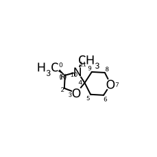 C[C@@H]1COC2(CCOCC2)N1C